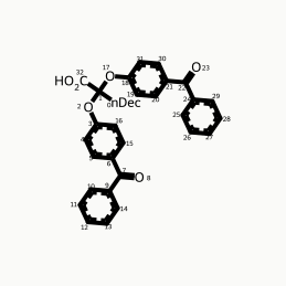 CCCCCCCCCCC(Oc1ccc(C(=O)c2ccccc2)cc1)(Oc1ccc(C(=O)c2ccccc2)cc1)C(=O)O